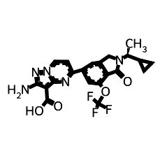 C[C@@H](C1CC1)N1Cc2cc(-c3ccn4nc(N)c(C(=O)O)c4n3)cc(OC(F)(F)F)c2C1=O